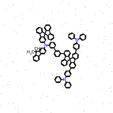 CC1(C)c2ccccc2-c2ccc(N(c3cccc(-c4cccc(-c5cccc6c5-c5ccccc5C65c6cc(-c7ccc(N(c8ccccc8)c8ccccc8)cc7)ccc6-c6ccc(-c7ccc(N(c8ccccc8)c8ccccc8)cc7)cc65)c4)c3)c3ccc4c(c3)C3(c5ccccc5-c5ccccc53)c3ccccc3-4)cc21